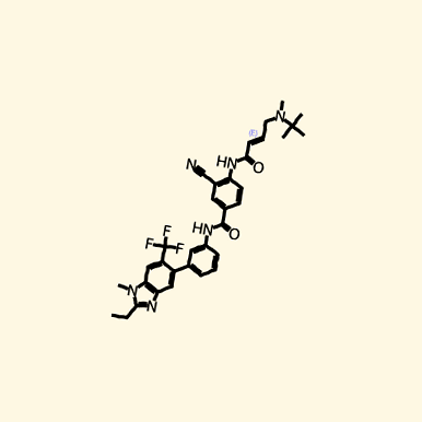 CCc1nc2cc(-c3cccc(NC(=O)c4ccc(NC(=O)/C=C/CN(C)C(C)(C)C)c(C#N)c4)c3)c(C(F)(F)F)cc2n1C